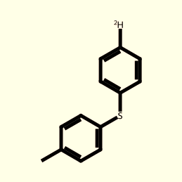 [2H]c1ccc(Sc2ccc(C)cc2)cc1